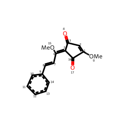 COC1=CC(=O)/C(=C(/C=C/c2ccccc2)OC)C1=O